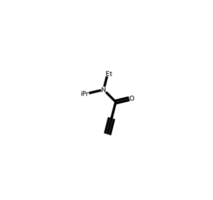 C#CC(=O)N(CC)C(C)C